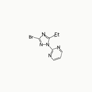 CCc1nc(Br)nn1-c1ncccn1